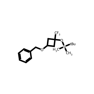 CC(C)(C)[Si](C)(C)OC1(C(F)(F)F)CC(OCc2ccccc2)C1